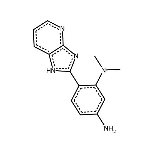 CN(C)c1cc(N)ccc1-c1nc2ncccc2[nH]1